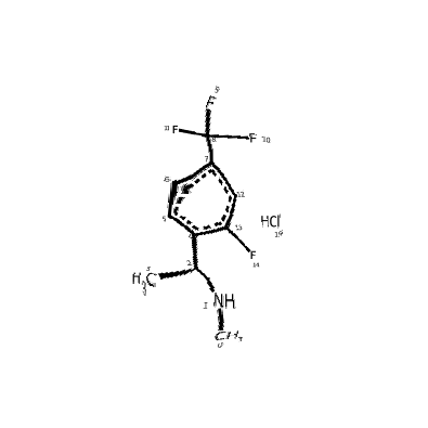 CN[C@@H](C)c1ccc(C(F)(F)F)cc1F.Cl